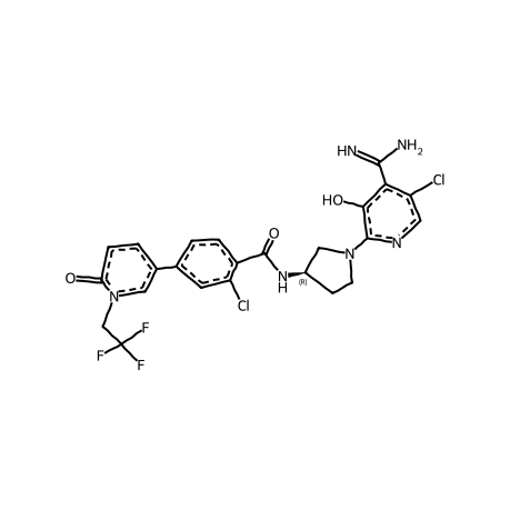 N=C(N)c1c(Cl)cnc(N2CC[C@@H](NC(=O)c3ccc(-c4ccc(=O)n(CC(F)(F)F)c4)cc3Cl)C2)c1O